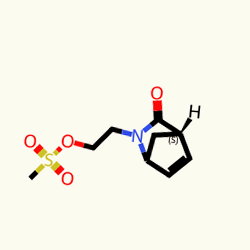 CS(=O)(=O)OCCN1C(=O)[C@@H]2C=CC1C2